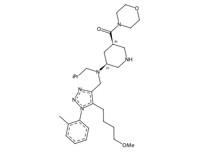 COCCCCc1c(CN(CC(C)C)[C@@H]2CNC[C@H](C(=O)N3CCOCC3)C2)nnn1-c1ccccc1C